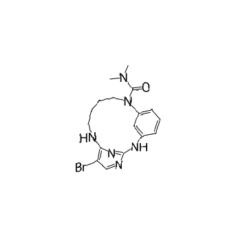 CN(C)C(=O)N1CCCCNc2nc(ncc2Br)Nc2cccc1c2